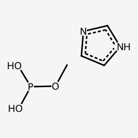 COP(O)O.c1c[nH]cn1